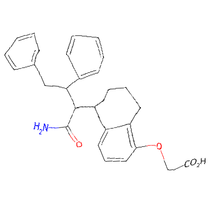 NC(=O)C(C(Cc1ccccc1)c1ccccc1)C1CCCc2c(OCC(=O)O)cccc21